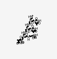 CNCCN(CC(=O)NCCN(CC(=O)NCCN(CC(=O)NCCCP(=O)(O)O)C(=O)Cn1cc(C)c(=O)[nH]c1=O)C(=O)Cn1cc(C)c(=O)[nH]c1=O)C(=O)Cn1cc(C)c(=O)[nH]c1=O